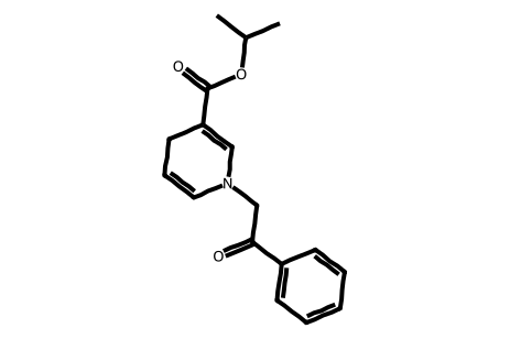 CC(C)OC(=O)C1=CN(CC(=O)c2ccccc2)C=CC1